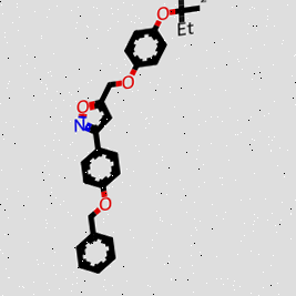 CCOC(=O)C(C)(CC)Oc1ccc(OCc2cc(-c3ccc(OCc4ccccc4)cc3)no2)cc1